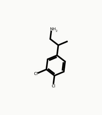 CC(CN)c1ccc(Cl)c(Cl)c1